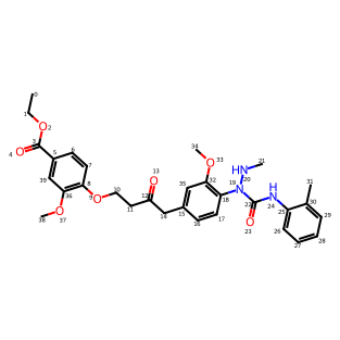 CCOC(=O)c1ccc(OCCC(=O)Cc2ccc(N(NC)C(=O)Nc3ccccc3C)c(OC)c2)c(OC)c1